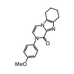 COc1ccc(-n2ccn3c4c(nc3c2=O)CCCC4)cc1